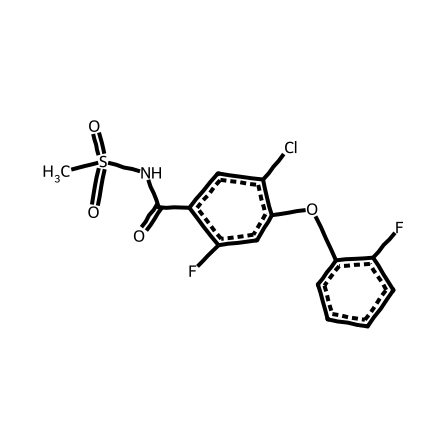 CS(=O)(=O)NC(=O)c1cc(Cl)c(Oc2ccccc2F)cc1F